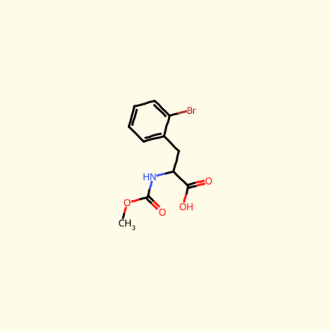 COC(=O)NC(Cc1ccccc1Br)C(=O)O